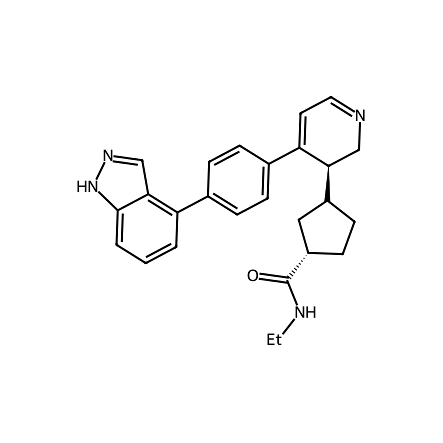 CCNC(=O)[C@H]1CCC([C@@H]2CN=CC=C2c2ccc(-c3cccc4[nH]ncc34)cc2)C1